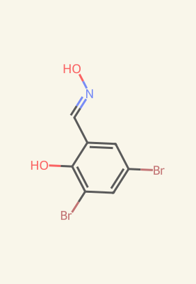 ON=Cc1cc(Br)cc(Br)c1O